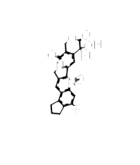 CC[C@@]1(O)C(=O)OCc2c1cc1n(c2=O)Cc2cc3c4c(c(F)cc3[n+]([O-])c2-1)CCC4